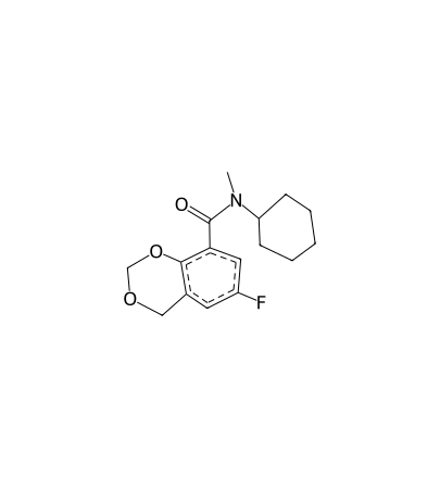 CN(C(=O)c1cc(F)cc2c1OCOC2)C1CCCCC1